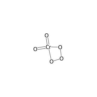 [O]=[Cr]1(=[O])[O]O[O]1